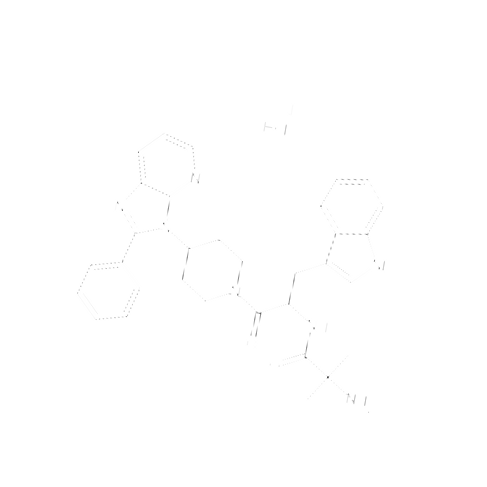 CC(C)(N)C(=O)NC(Cc1c[nH]c2ccccc12)C(=O)N1CCC(n2c(-c3ccccc3)nc3cccnc32)CC1.Cl.Cl